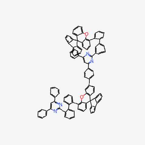 c1ccc(-c2cc(-c3ccc(-c4ccc5c(c4)Oc4c(-c6ccccc6-c6ccccc6-c6nc(-c7ccccc7)cc(-c7ccccc7)n6)cccc4C54c5ccccc5-c5ccccc54)cc3)nc(-c3cccc(-c4ccccc4-c4cccc5c4Oc4ccccc4C54c5ccccc5-c5ccccc54)c3)n2)cc1